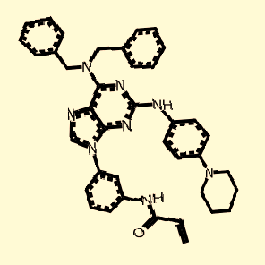 C=CC(=O)Nc1cccc(-n2cnc3c(N(Cc4ccccc4)Cc4ccccc4)nc(Nc4ccc(N5CCCCC5)cc4)nc32)c1